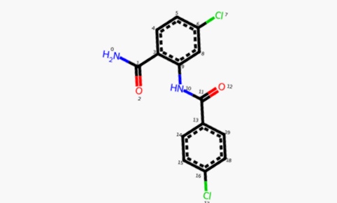 NC(=O)c1ccc(Cl)cc1NC(=O)c1ccc(Cl)cc1